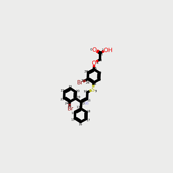 O=C(O)COc1ccc(SC/C=C(/c2ccccc2)c2ccccc2Br)c(Br)c1